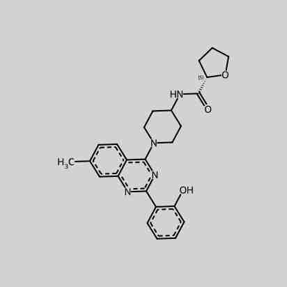 Cc1ccc2c(N3CCC(NC(=O)[C@@H]4CCCO4)CC3)nc(-c3ccccc3O)nc2c1